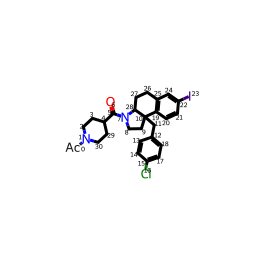 CC(=O)N1CCC(C(=O)N2CCC3(Cc4ccc(Cl)cc4)c4ccc(I)cc4CCC23)CC1